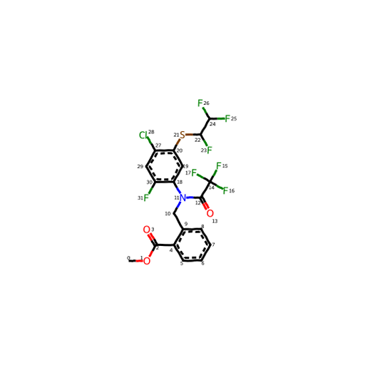 COC(=O)c1ccccc1CN(C(=O)C(F)(F)F)c1cc(SC(F)C(F)F)c(Cl)cc1F